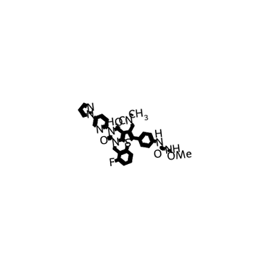 CONC(=O)Nc1ccc(-c2sc3c(c2CN(C)C)c(=O)n(-c2ccc(-n4cccn4)cn2)c(=O)n3Cc2c(F)cccc2F)cc1